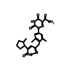 Cc1cc(-n2nc(C(N)=O)c(=O)[nH]c2=O)cc(C)c1Cc1cc(C2CCCC2C)c(=O)[nH]n1